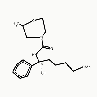 COCCCC[C@](O)(NC(=O)N1CCCC(C)C1)c1ccccc1